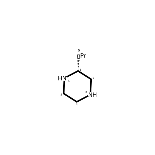 CCC[C@@H]1CNCCN1